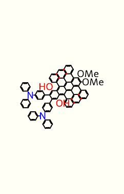 COc1c(OC)c(-c2ccccc2)c2c(-c3ccccc3)c3c(-c4ccccc4)c4c(O)c(-c5ccc(N(c6ccccc6)c6ccccc6)cc5)c(-c5ccc(N(c6ccccc6)c6ccccc6)cc5)c(O)c4c(-c4ccccc4)c3c(-c3ccccc3)c2c1-c1ccccc1